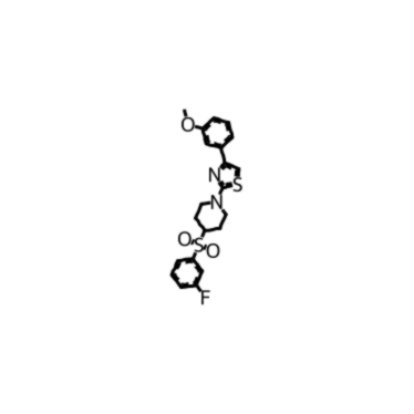 COc1cccc(-c2csc(N3CCC(S(=O)(=O)c4cccc(F)c4)CC3)n2)c1